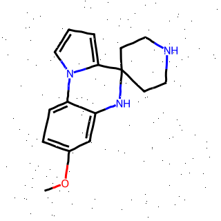 COc1ccc2c(c1)NC1(CCNCC1)c1cccn1-2